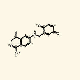 CC(C)c1cc(NCC2=CC(=O)C=CC2=O)ccc1C(=O)O